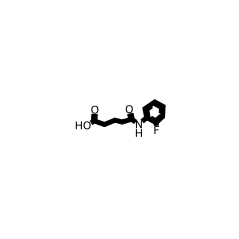 O=C(O)CCCC(=O)Nc1ccccc1F